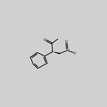 CC(=O)[C@@H](C[N+](=O)[O-])c1ccccc1